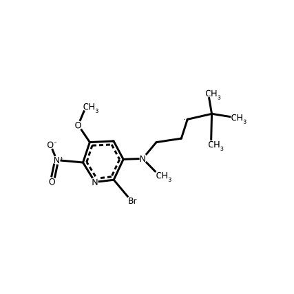 COc1cc(N(C)CC[CH]C(C)(C)C)c(Br)nc1[N+](=O)[O-]